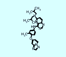 Cc1cc(Nc2ncnc3ccc(N(CC(C)C)CC(C)C)nc23)ccc1Oc1ccn2ncnc2c1